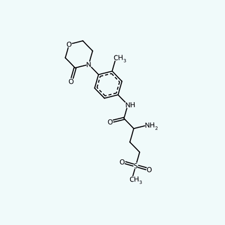 Cc1cc(NC(=O)C(N)CCS(C)(=O)=O)ccc1N1CCOCC1=O